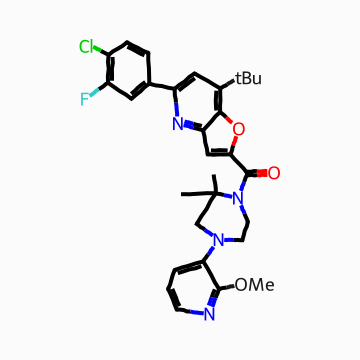 COc1ncccc1N1CCN(C(=O)c2cc3nc(-c4ccc(Cl)c(F)c4)cc(C(C)(C)C)c3o2)C(C)(C)C1